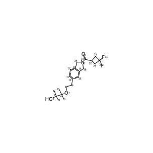 CC(C)(O)C(C)(C)OCCc1ccc2c(c1)CN(C(=O)C1CC(F)(F)C1)C2